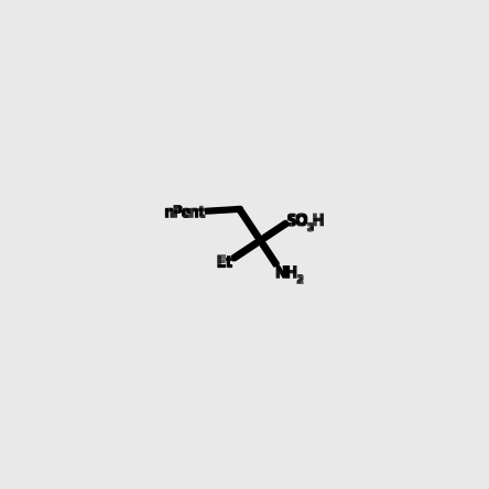 CCCCCCC(N)(CC)S(=O)(=O)O